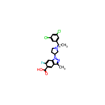 Cc1nn(C2CCN([C@@H](C)c3cc(Cl)cc(Cl)c3)C2)c2cc(F)c(C(=O)O)cc12